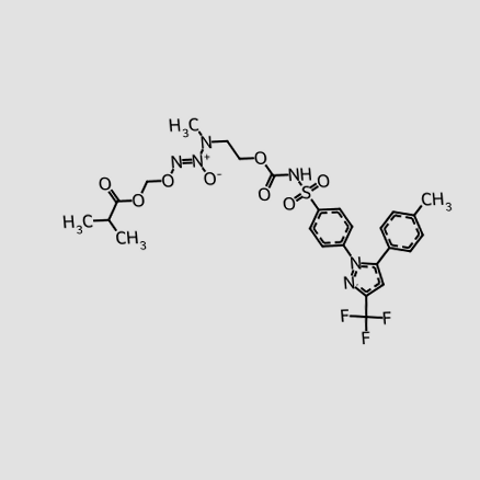 Cc1ccc(-c2cc(C(F)(F)F)nn2-c2ccc(S(=O)(=O)NC(=O)OCCN(C)[N+]([O-])=NOCOC(=O)C(C)C)cc2)cc1